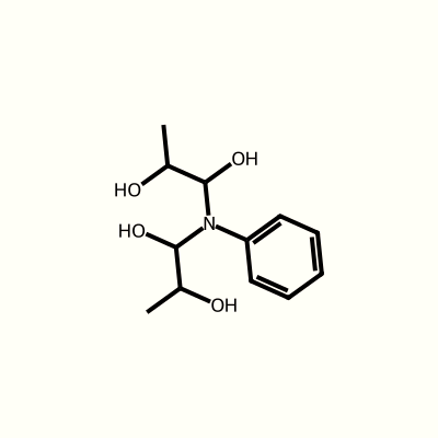 CC(O)C(O)N(c1ccccc1)C(O)C(C)O